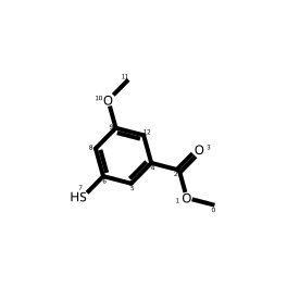 COC(=O)c1cc(S)cc(OC)c1